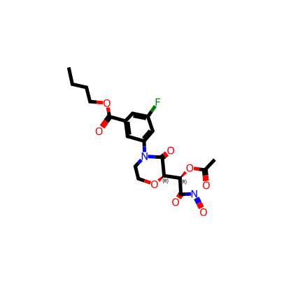 CCCCOC(=O)c1cc(F)cc(N2CCO[C@H]([C@@H](OC(C)=O)C(=O)N=O)C2=O)c1